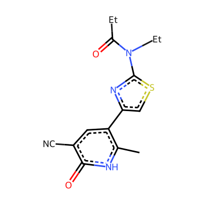 CCC(=O)N(CC)c1nc(-c2cc(C#N)c(=O)[nH]c2C)cs1